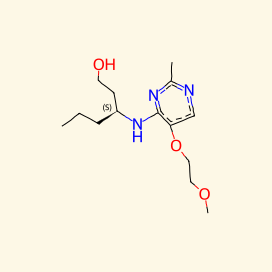 CCC[C@@H](CCO)Nc1nc(C)ncc1OCCOC